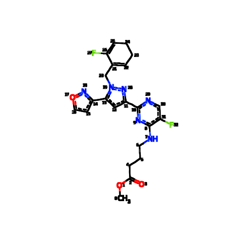 COC(=O)CCCNc1nc(-c2cc(-c3ccon3)n(CC3=CCCC=C3F)n2)ncc1F